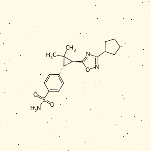 CC1(C)[C@@H](c2ccc(S(N)(=O)=O)cc2)[C@@H]1c1nc(C2CCCC2)no1